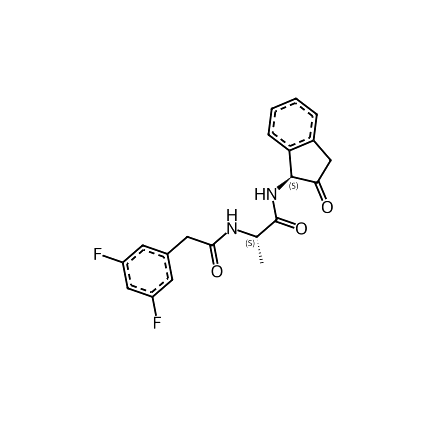 C[C@H](NC(=O)Cc1cc(F)cc(F)c1)C(=O)N[C@@H]1C(=O)Cc2ccccc21